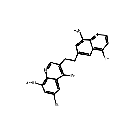 CCc1cc(NC(C)=O)c2ncc(CCc3cc(N)c4nccc(C(C)C)c4c3)c(C(C)C)c2c1